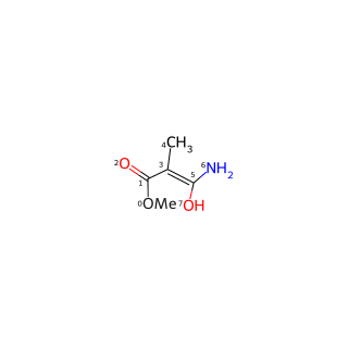 COC(=O)C(C)=C(N)O